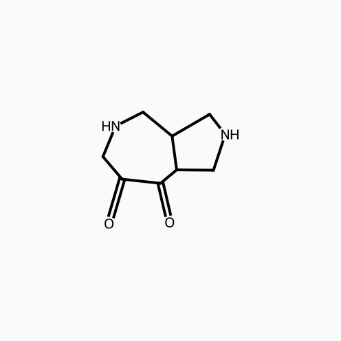 O=C1CNCC2CNCC2C1=O